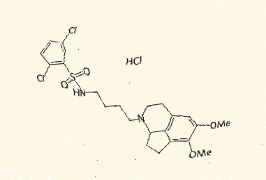 COc1cc2c3c(c1OC)CCC3N(CCCCNS(=O)(=O)c1cc(Cl)ccc1Cl)CC2.Cl